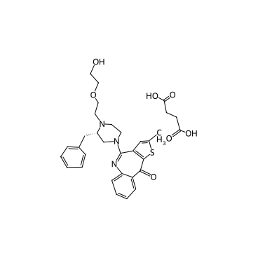 Cc1cc2c(N3CCN(CCOCCO)[C@@H](Cc4ccccc4)C3)nc3ccccc3c(=O)c2s1.O=C(O)CCC(=O)O